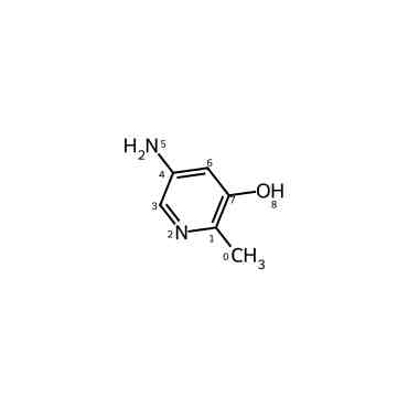 Cc1ncc(N)cc1O